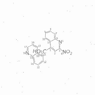 O=C(O)c1cc([N+](=O)[O-])nc2ccccc12.c1ccc2ncccc2c1